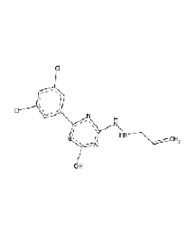 C=CCNNc1nc(O)nc(-c2cc(Cl)cc(Cl)c2)n1